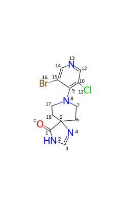 O=C1NC=NC12CCN(c1c(Cl)cncc1Br)CC2